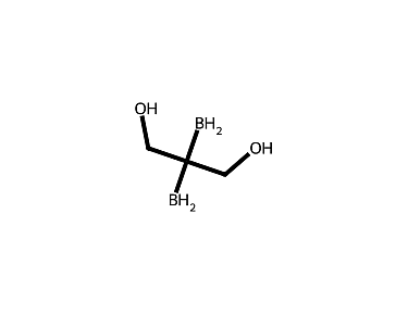 BC(B)(CO)CO